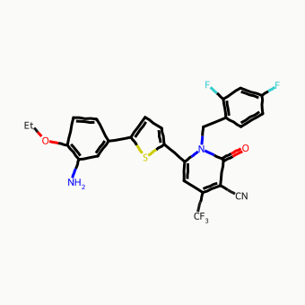 CCOc1ccc(-c2ccc(-c3cc(C(F)(F)F)c(C#N)c(=O)n3Cc3ccc(F)cc3F)s2)cc1N